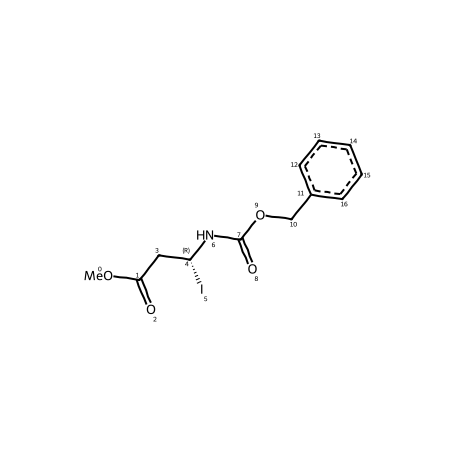 COC(=O)C[C@@H](I)NC(=O)OCc1ccccc1